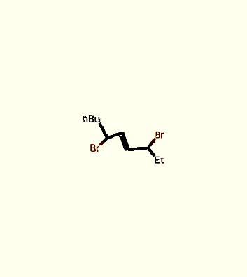 CCCCC(Br)/C=C/C(Br)CC